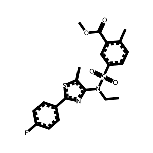 CCN(c1nc(-c2ccc(F)cc2)sc1C)S(=O)(=O)c1ccc(C)c(C(=O)OC)c1